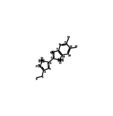 CCc1cc(-c2nc3cc(C)c(C)cc3[nH]2)[nH]n1